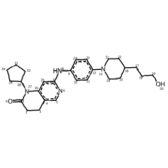 O=C1CCc2cnc(Nc3ccc(N4CCC(CCCO)CC4)cc3)cc2N1C1CCCC1